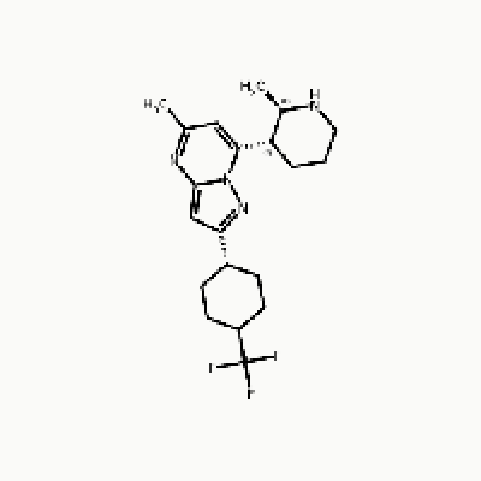 Cc1cc([C@H]2CCCN[C@@H]2C)n2nc([C@H]3CC[C@H](C(F)(F)F)CC3)cc2n1